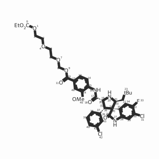 CCOC(=O)OCCOCCOCOC(=O)c1ccc(NC(=O)[C@@H]2N[C@@H](CC(C)(C)C)[C@@]3(C(=O)Nc4cc(Cl)c(F)cc43)[C@@H]2c2cccc(Cl)c2)c(OC)c1